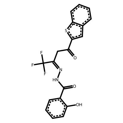 O=C(CC(=NNC(=O)c1ccccc1O)C(F)(F)F)c1cc2ccccc2s1